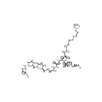 CCCC/C=C\CCCCCCCC(=O)O[C@H](COC(=O)CC/C=C\C/C=C\C/C=C\C/C=C\C/C=C\CCCCC)COP(=O)(O)OCCN